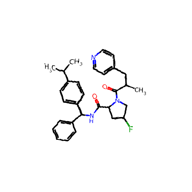 CC(Cc1ccncc1)C(=O)N1CC(F)CC1C(=O)NC(c1ccccc1)c1ccc(C(C)C)cc1